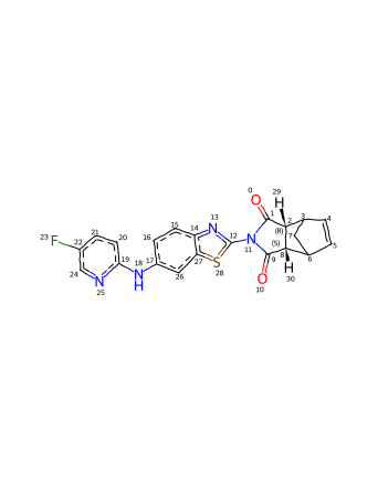 O=C1[C@@H]2C3C=CC(C3)[C@@H]2C(=O)N1c1nc2ccc(Nc3ccc(F)cn3)cc2s1